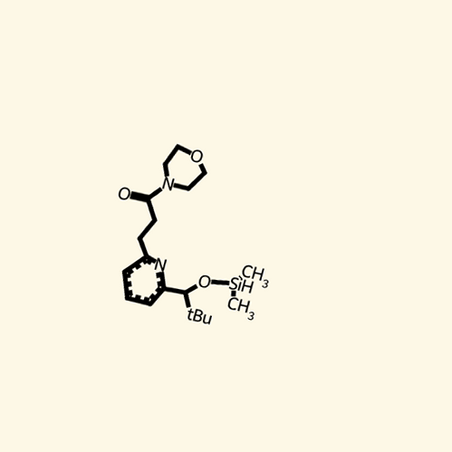 C[SiH](C)OC(c1cccc(CCC(=O)N2CCOCC2)n1)C(C)(C)C